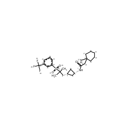 CC(C)(C[C@H]1C[C@@H](NC(=O)CC2(N)CCCCC2)C1)S(=O)(=O)c1cccc(C(F)(F)F)c1